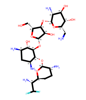 NC[C@@H]1O[C@H](O[C@H]2[C@@H](O)[C@H](O[C@@H]3[C@@H](O)[C@H](N)C[C@H](N)[C@H]3O[C@H]3O[C@H]([C@@H](N)C(F)F)CC[C@H]3N)O[C@@H]2CO)[C@H](N)[C@@H](O)[C@@H]1O